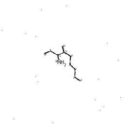 CCCCCC(C)C(N)CC